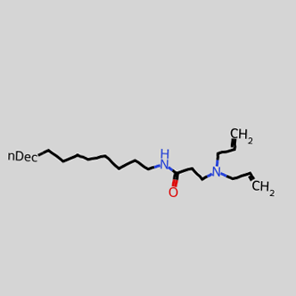 C=CCN(CC=C)CCC(=O)NCCCCCCCCCCCCCCCCCC